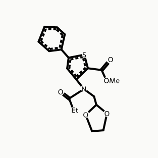 CCC(=O)N(CC1OCCO1)c1cc(-c2ccccc2)sc1C(=O)OC